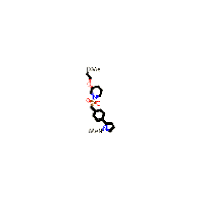 CNn1cccc1C1CCC(CS(=O)(=O)N2CCCC(OCCOC)C2)CC1